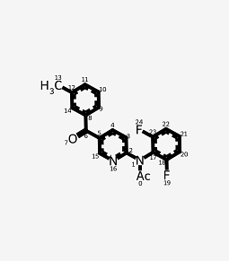 CC(=O)N(c1ccc(C(=O)c2cccc(C)c2)cn1)c1c(F)cccc1F